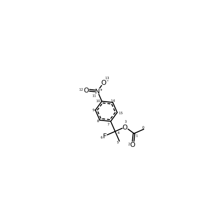 CC(=O)OC(C)(F)c1ccc([N+](=O)[O-])cc1